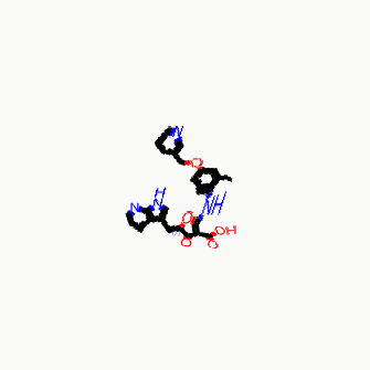 Cc1cc(OCc2cccnc2)ccc1NC1=C(C(=O)O)C(=O)/C(=C/c2c[nH]c3ncccc23)O1